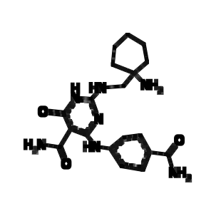 NC(=O)c1ccc(Nc2nc(NCC3(N)CCCCC3)[nH]c(=O)c2C(N)=O)cc1